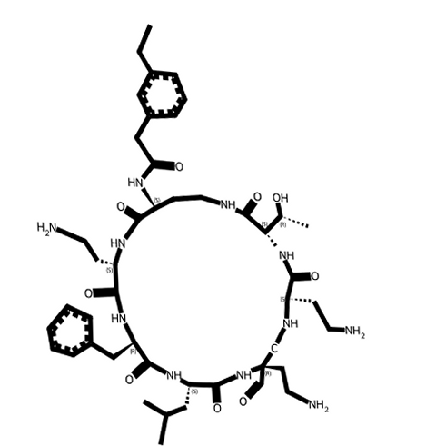 CCc1cccc(CC(=O)N[C@H]2CCNC(=O)[C@H]([C@@H](C)O)NC(=O)[C@H](CCN)NC[C@@](C=O)(CCN)NC(=O)[C@H](CC(C)C)NC(=O)[C@@H](Cc3ccccc3)NC(=O)[C@H](CCN)NC2=O)c1